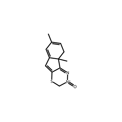 CC1=CCC2(C)C(=C1)C=C1SC[N+](=O)N=C12